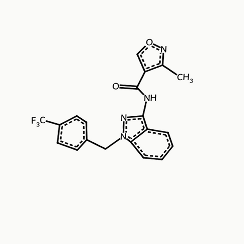 Cc1nocc1C(=O)Nc1nn(Cc2ccc(C(F)(F)F)cc2)c2ccccc12